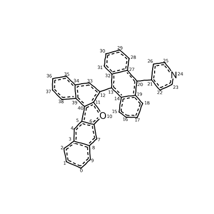 c1ccc2cc3c(cc2c1)oc1c(-c2c4ccccc4c(-c4ccncc4)c4ccccc24)cc2ccccc2c13